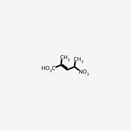 CC(=CC(C)[N+](=O)[O-])C(=O)O